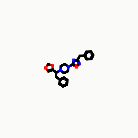 C1=C(C(Cc2ccccc2)N2CCN(c3nc(Cc4ccccc4)no3)CC2)OCO1